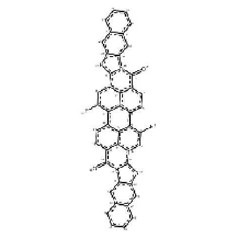 O=c1c2ccc3c4c(F)cc5c6c(ccc(c7c(F)cc(c2c37)c2nc3cc7ccccc7cc3n12)c46)c(=O)n1c2cc3ccccc3cc2nc51